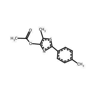 CC(=O)Oc1nc(-c2ccc(C)cc2)sc1C